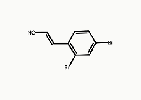 N#CC=Cc1ccc(Br)cc1Br